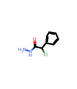 NNC(=O)C(Cl)c1ccccc1